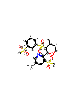 CC1CCOC(c2ncc(C(F)(F)F)cc2S(C)(=O)=O)C1S(=O)(=O)c1cccc(S(C)(=O)=O)c1